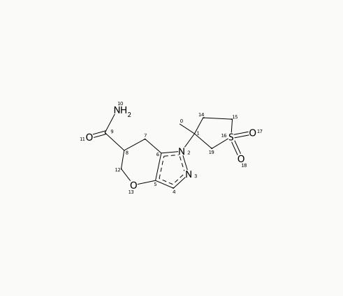 CC1(n2ncc3c2CC(C(N)=O)CO3)CCS(=O)(=O)C1